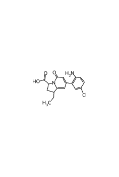 CCC1CC(C(=O)O)n2c1cc(-c1cc(Cl)ccc1N)cc2=O